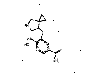 Cl.NC(=O)c1cnc(N)c(OC2CNCC23CC3)c1